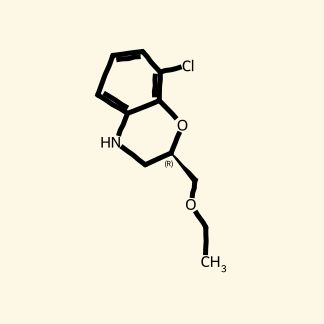 CCOC[C@H]1CNc2cccc(Cl)c2O1